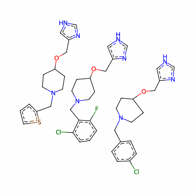 Clc1ccc(CN2CCC(OCc3c[nH]cn3)CC2)cc1.Fc1cccc(Cl)c1CN1CCC(OCc2c[nH]cn2)CC1.c1csc(CN2CCC(OCc3c[nH]cn3)CC2)c1